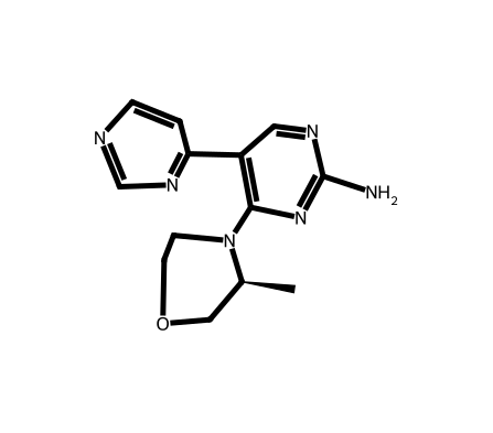 C[C@H]1COCCN1c1nc(N)ncc1-c1ccncn1